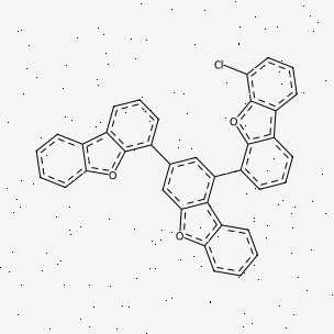 Clc1cccc2c1oc1c(-c3cc(-c4cccc5c4oc4ccccc45)cc4oc5ccccc5c34)cccc12